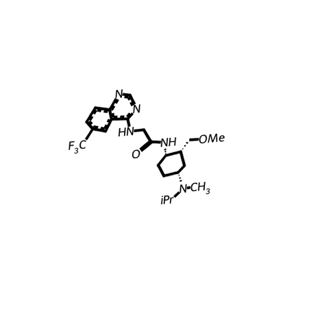 COC[C@@H]1C[C@H](N(C)C(C)C)CC[C@@H]1NC(=O)CNc1ncnc2ccc(C(F)(F)F)cc12